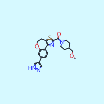 COCC1CCN(C(=O)c2nc3c(s2)CCOc2cc(-c4cn[nH]c4)ccc2-3)CC1